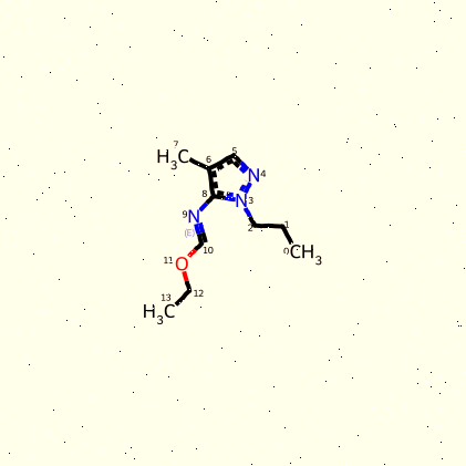 CCCn1ncc(C)c1/N=C/OCC